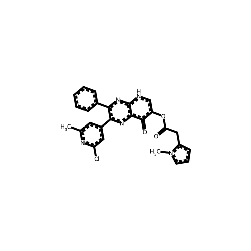 Cc1cc(-c2nc3c(=O)c(OC(=O)Cc4cccn4C)c[nH]c3nc2-c2ccccc2)cc(Cl)n1